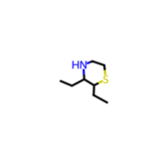 CCC1NCCSC1CC